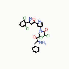 NC(Cc1ccccc1)C(=O)CCN(C(=O)C(Cl)Cl)c1ccnc(-c2cc(-c3c(Cl)cccc3Cl)no2)c1